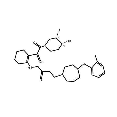 Cc1ccccc1OC1CCCC(CCC(=O)CNC2=C(C(=N)C(=O)N3CC[C@@H](O)[C@@H](F)C3)CCCC2)CC1